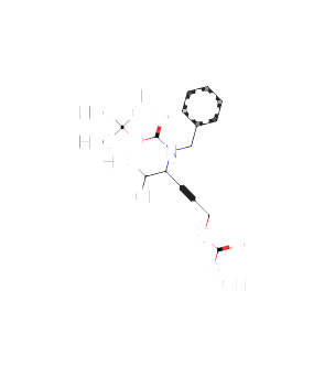 COC(=O)OCC#CC(C(C)C)N(Cc1ccccc1)C(=O)OC(C)(C)C